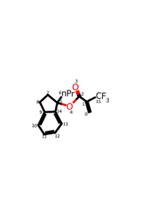 C=C(C(=O)OC1(CCC)CCc2ccccc21)C(F)(F)F